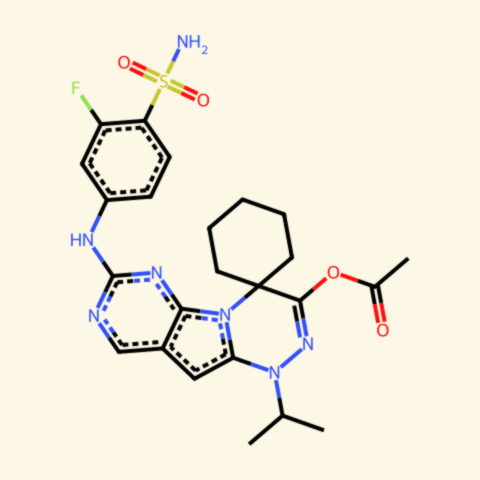 CC(=O)OC1=NN(C(C)C)c2cc3cnc(Nc4ccc(S(N)(=O)=O)c(F)c4)nc3n2C12CCCCC2